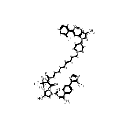 Cc1ncsc1-c1ccc(C(C)NC(=O)[C@@H]2C[C@@H](O)CN2C(=O)C(C(=O)CCCCCCCCCN2CCC(n3nc(N)c4nnc(-c5ccccc5O)cc43)CC2)C(C)(C)C)cc1